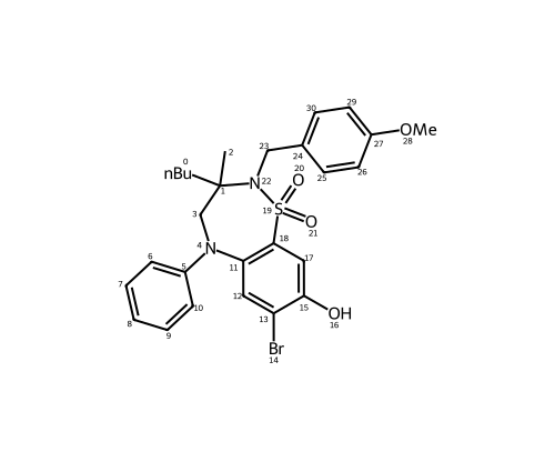 CCCCC1(C)CN(c2ccccc2)c2cc(Br)c(O)cc2S(=O)(=O)N1Cc1ccc(OC)cc1